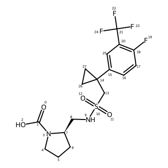 O=C(O)N1CCC[C@@H]1CNS(=O)(=O)CC1(c2ccc(F)c(C(F)(F)F)c2)CC1